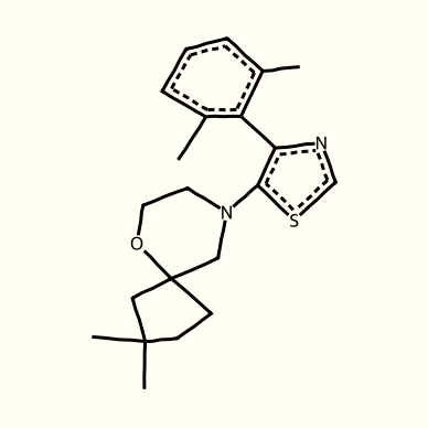 Cc1cccc(C)c1-c1ncsc1N1CCOC2(CCC(C)(C)C2)C1